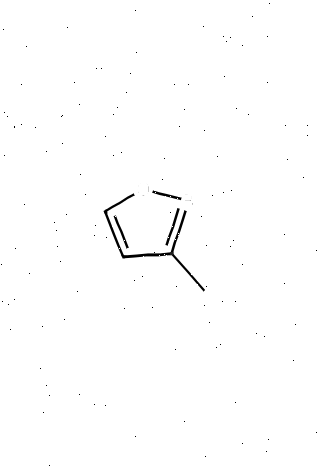 [CH2]c1bocc1